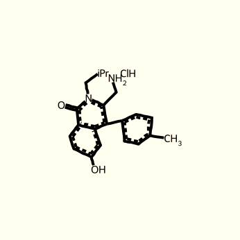 Cc1ccc(-c2c(CN)n(CC(C)C)c(=O)c3ccc(O)cc23)cc1.Cl